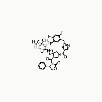 CC(C)(C)OC(=O)N1CC2(C1)CN(C(=O)c1cnn(Cc3cc(F)c(F)cc3F)c1)C[C@H]2C(=O)N1C(=O)OC[C@H]1c1ccccc1